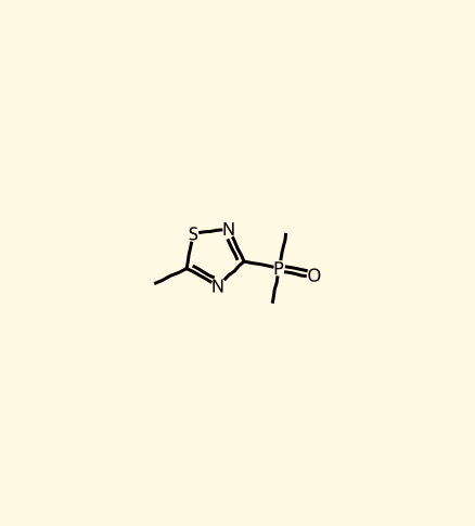 Cc1nc(P(C)(C)=O)ns1